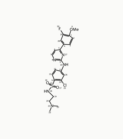 COc1ccc(-c2ccnc(Nc3ccc(S(=O)(=O)NCCN(C)C)c(Cl)c3)n2)cc1F